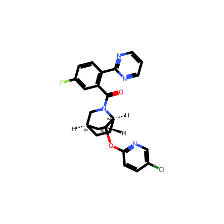 O=C(c1cc(F)ccc1-c1ncccn1)N1C[C@@H]2CC[C@H]1[C@H](Oc1ccc(Cl)cn1)C2